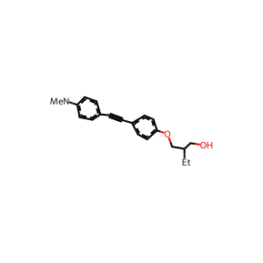 CCC(CO)COc1ccc(C#Cc2ccc(NC)cc2)cc1